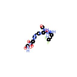 O=C1CCC(N2C(=O)c3ccc(N4CCN(CC5CCN(c6ccc(C(=O)Nc7n[nH]c8ccc(Cc9cc(F)cc(F)c9)cc78)c(NC7CCOCC7)c6)CC5)CC4)cc3C2=O)C(=O)N1